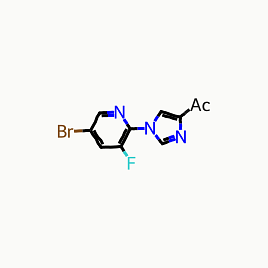 CC(=O)c1cn(-c2ncc(Br)cc2F)cn1